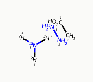 CC(=O)O.N[15NH2].[2H][15N]([2H])[2H]